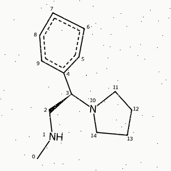 CNC[C@@H](c1ccccc1)N1CCCC1